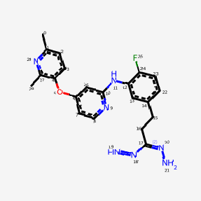 Cc1ccc(Oc2ccnc(Nc3cc(CC/C(N=N)=N/N)ccc3F)c2)c(C)n1